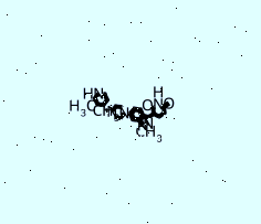 Cn1nc(C2CCC(=O)NC2=O)c2ccc(N3CCN(C[C@H]4CCNCC4(C)C)CC3)cc21